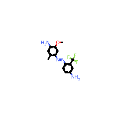 COc1cc(N=Nc2ccc(N)cc2C(F)(F)F)c(C)cc1N